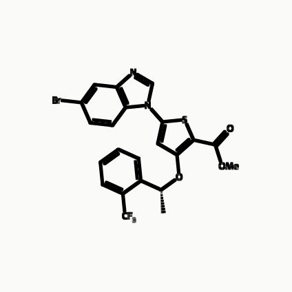 COC(=O)c1sc(-n2cnc3cc(Br)ccc32)cc1O[C@H](C)c1ccccc1C(F)(F)F